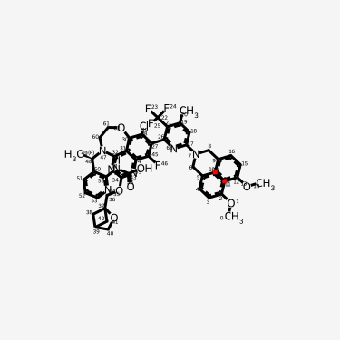 COc1ccc(CN(Cc2ccc(OC)cc2)c2cc(C)c(C(F)(F)F)c(-c3c(Cl)c4c5c(nc(OCC67CC(CO6)C7)nc5c3F)N([C@H](C)c3cccnc3NC(=O)O)CCO4)n2)cc1